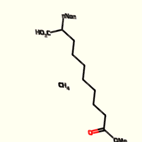 C.CCCCCCCCCC(CCCCCCCC(=O)OC)C(=O)O